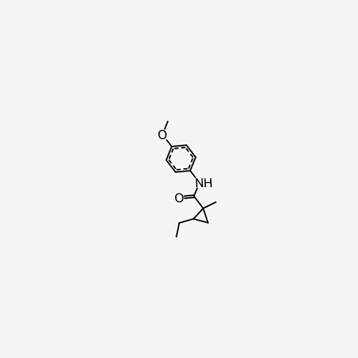 CCC1CC1(C)C(=O)Nc1ccc(OC)cc1